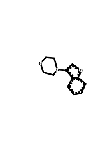 c1ccc2c(N3CC[N]CC3)c[nH]c2c1